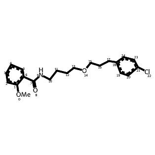 COc1ccccc1C(=O)NCCCCOCCCc1ccc(Cl)cc1